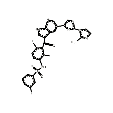 Cc1nccn1-c1nc(-c2cnc3[nH]cc(C(=O)c4c(F)ccc(NS(=O)(=O)c5cccc(F)c5)c4F)c3c2)cs1